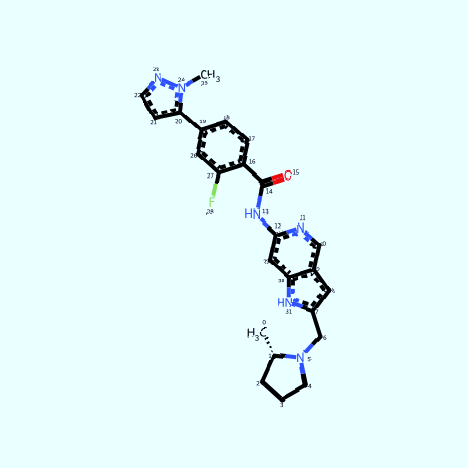 C[C@H]1CCCN1Cc1cc2cnc(NC(=O)c3ccc(-c4ccnn4C)cc3F)cc2[nH]1